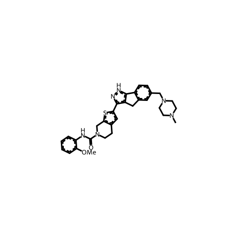 COc1ccccc1NC(=O)N1CCc2cc(-c3n[nH]c4c3Cc3cc(CN5CCN(C)CC5)ccc3-4)sc2C1